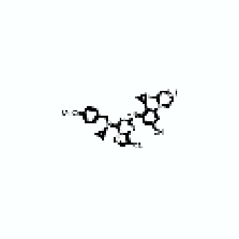 COc1ccc(CN(c2nc(Nc3cc(C#N)cc(N4CCNC[C@@H]4C)c3C3CC3)nc3c(C#N)cnn23)C2CC2)cc1